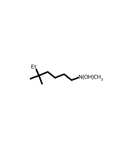 CCC(C)(C)CCCCN(C)O